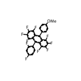 COc1ccc(-c2c3c(F)c(F)c(F)c(F)c3c(-c3ccc(F)cc3F)c3c(F)c(F)c(F)c(F)c23)cc1